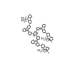 CC1(C)c2ccccc2-c2ccc(-c3ccc4c(c3)c3ccccc3n4-c3cccc(-c4cc(-c5cccc(-n6c7ccccc7c7cc(-c8ccc9c(c8)C(C)(C)c8ccccc8-9)ccc76)c5)nc(-c5cccc(-n6c7ccccc7c7ccc(-c8ccc9c(c8)C(C)(C)c8ccccc8-9)cc76)c5)n4)c3)cc21